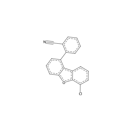 N#Cc1ccccc1-c1cccc2oc3c(Cl)cccc3c12